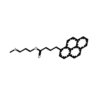 CSCCCOC(=O)CCCc1ccc2ccc3cccc4ccc1c2c34